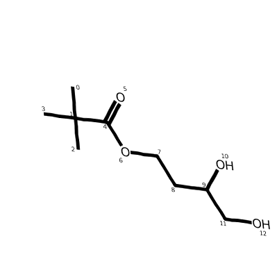 CC(C)(C)C(=O)OCCC(O)CO